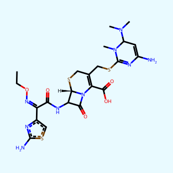 CCO/N=C(\C(=O)NC1C(=O)N2C(C(=O)O)=C(CSC3=NC(N)=CC(N(C)C)N3C)CS[C@@H]12)c1csc(N)n1